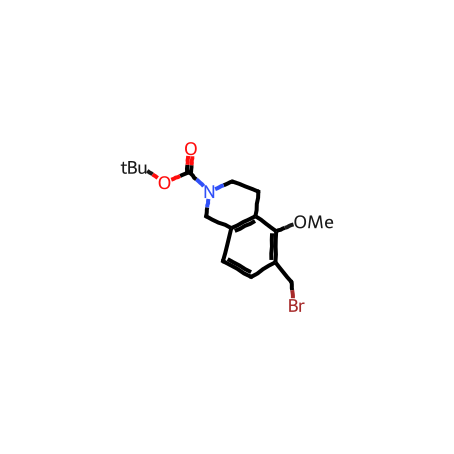 COc1c(CBr)ccc2c1CCN(C(=O)OC(C)(C)C)C2